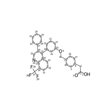 O=C(O)Cc1ccc(COc2cccc(-c3c(-c4ccccc4)cnc4c(C(F)(F)F)cccc34)c2)cc1